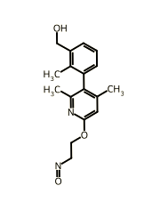 Cc1cc(OCCN=O)nc(C)c1-c1cccc(CO)c1C